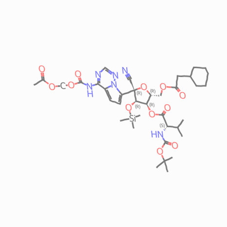 CC(=O)OCOC(=O)Nc1ncnn2c([C@]3(C#N)O[C@H](COC(=O)CC4CCCCC4)[C@@H](OC(=O)[C@@H](NC(=O)OC(C)(C)C)C(C)C)[C@H]3O[Si](C)(C)C)ccc12